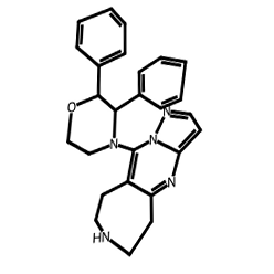 c1ccc(C2OCCN(c3c4c(nc5ccnn35)CCNCC4)C2c2ccccc2)cc1